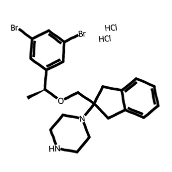 C[C@H](OCC1(N2CCNCC2)Cc2ccccc2C1)c1cc(Br)cc(Br)c1.Cl.Cl